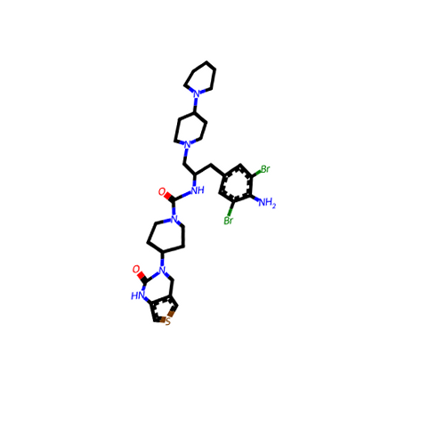 Nc1c(Br)cc(CC(CN2CCC(N3CCCCC3)CC2)NC(=O)N2CCC(N3Cc4cscc4NC3=O)CC2)cc1Br